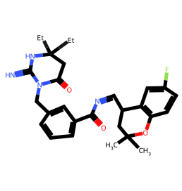 CCC1(CC)CC(=O)N(Cc2cccc(C(=O)/N=C\C3CC(C)(C)Oc4ccc(F)cc43)c2)C(=N)N1